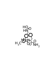 Cc1cc(C(=O)N[C@@H](Cc2ccccc2)C(=O)C(N)=O)n(-c2ccc(CNC(=O)O)cc2)n1